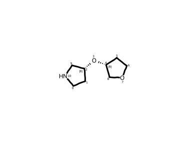 C1C[C@@H](O[C@@H]2CCOC2)CN1